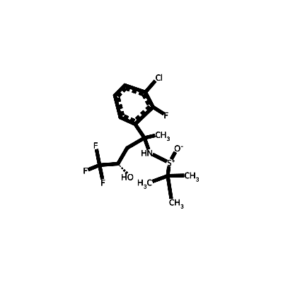 CC(C[C@H](O)C(F)(F)F)(N[S+]([O-])C(C)(C)C)c1cccc(Cl)c1F